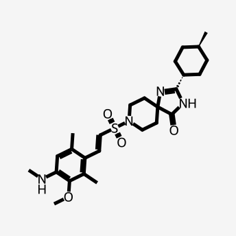 CNc1cc(C)c(/C=C/S(=O)(=O)N2CCC3(CC2)N=C([C@H]2CC[C@H](C)CC2)NC3=O)c(C)c1OC